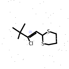 CC(C)(C)/C(Cl)=C/C1SCCCS1